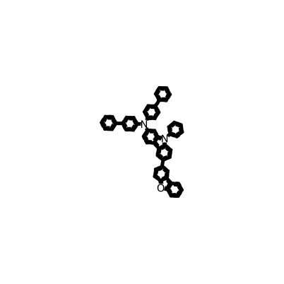 c1ccc(-c2ccc(N(c3ccc(-c4ccccc4)cc3)c3ccc4c5cc(-c6ccc7oc8ccccc8c7c6)ccc5n(-c5ccccc5)c4c3)cc2)cc1